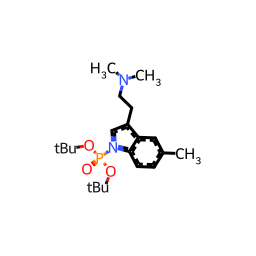 Cc1ccc2c(c1)c(CCN(C)C)cn2P(=O)(OC(C)(C)C)OC(C)(C)C